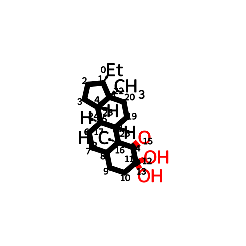 CC[C@H]1CC[C@H]2[C@@H]3CCC4CCC(O)(O)C(=O)[C@]4(C)[C@H]3CC[C@]12C